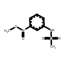 CO[N+](=O)c1cccc(NS(C)(=O)=O)c1